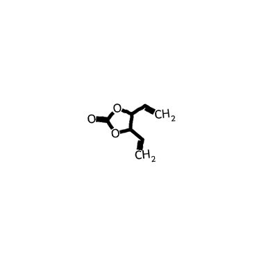 C=CC1OC(=O)OC1C=C